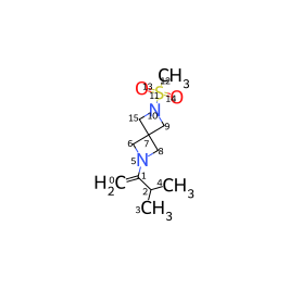 C=C(C(C)C)N1CC2(C1)CN(S(C)(=O)=O)C2